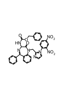 O=C(NC1N=C(c2ccccc2)c2ccccc2N(Cc2nccn2-c2ccc([N+](=O)[O-])cc2[N+](=O)[O-])C1=O)OCc1ccccc1